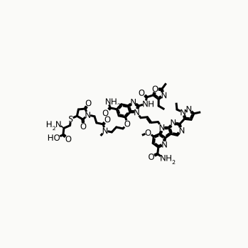 CCc1nc(C)oc1C(=O)Nc1nc2cc(C(N)=O)cc(OCCCN(C)C(=O)CCN3C(=O)CC(SC[C@H](N)C(=O)O)C3=O)c2n1C/C=C/Cn1c2nc(-c3cc(C)nn3CC)ncc2c2nc(C(N)=O)cc(OC)c21